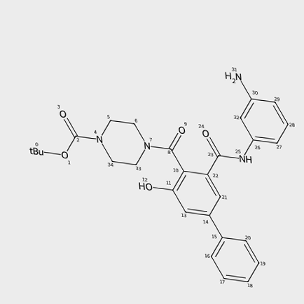 CC(C)(C)OC(=O)N1CCN(C(=O)c2c(O)cc(-c3ccccc3)cc2C(=O)Nc2cccc(N)c2)CC1